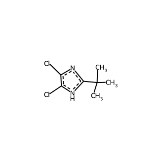 CC(C)(C)c1nc(Cl)c(Cl)[nH]1